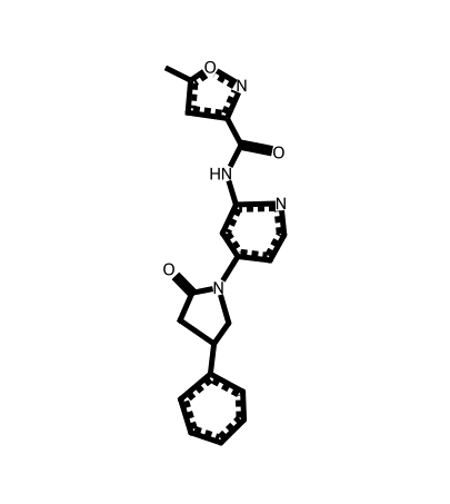 Cc1cc(C(=O)Nc2cc(N3CC(c4ccccc4)CC3=O)ccn2)no1